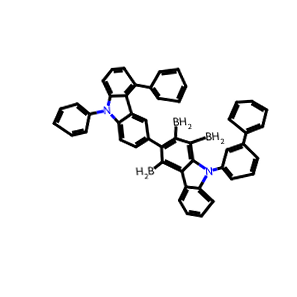 Bc1c(-c2ccc3c(c2)c2c(-c4ccccc4)cccc2n3-c2ccccc2)c(B)c2c3ccccc3n(-c3cccc(-c4ccccc4)c3)c2c1B